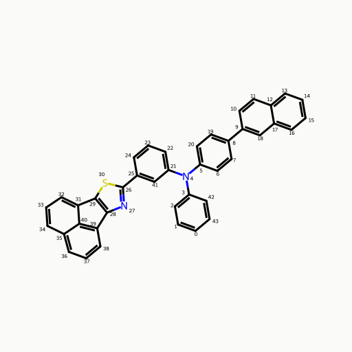 c1ccc(N(c2ccc(-c3ccc4ccccc4c3)cc2)c2cccc(-c3nc4c(s3)-c3cccc5cccc-4c35)c2)cc1